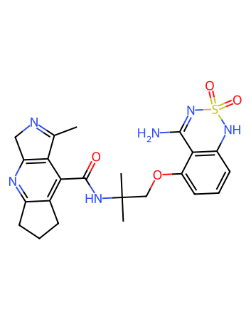 CC1=NCc2nc3c(c(C(=O)NC(C)(C)COc4cccc5c4C(N)=NS(=O)(=O)N5)c21)CCC3